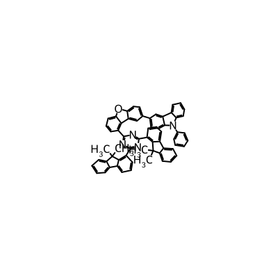 CC1(C)c2ccccc2-c2cccc(-c3nc(-c4cccc5c4C(C)(C)c4ccccc4-5)nc(-c4cccc5oc6ccc(-c7ccc8c(c7)c7ccccc7n8-c7ccccc7)cc6c45)n3)c21